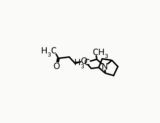 CC(=O)CCOCC1CC2CCC1N2C(C)C